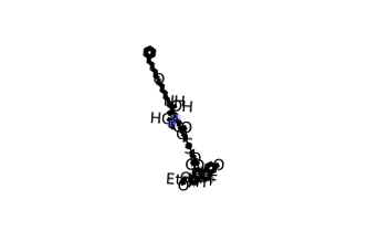 C=C(/C=C(COC(=O)OCCSSCCOC(=O)O[C@H]1C[C@]2(C)[C@H](OC(=O)CC)[C@H](C)C[C@H]2[C@@H]2C[C@H](F)C3=CC(=O)C=C[C@]3(C)[C@@]12C)\C(O)=C/C)C(O)CNCCCCCOCCCCCc1ccccc1